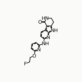 O=C1NCCc2[nH]c3nc(Nc4cccc(OCCF)n4)ccc3c21